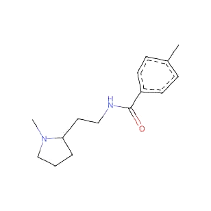 Cc1ccc(C(=O)NCCC2CCCN2C)cc1